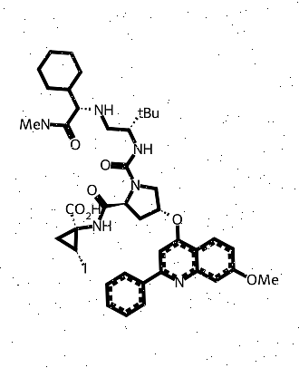 CNC(=O)[C@@H](NC[C@@H](NC(=O)N1C[C@H](Oc2cc(-c3ccccc3)nc3cc(OC)ccc23)C[C@H]1C(=O)N[C@]1(C(=O)O)C[C@H]1I)C(C)(C)C)C1CCCCC1